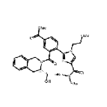 CCCCN(CCCC)C(=O)c1cn(CCOC)c(-c2ccc(C(=O)OC)cc2C(=O)N2Cc3ccccc3C[C@H]2CO)n1